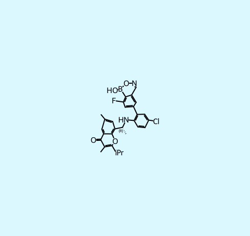 Cc1cc([C@@H](C)Nc2ccc(Cl)cc2-c2cc(F)c3c(c2)C=NOB3O)c2oc(C(C)C)c(C)c(=O)c2c1